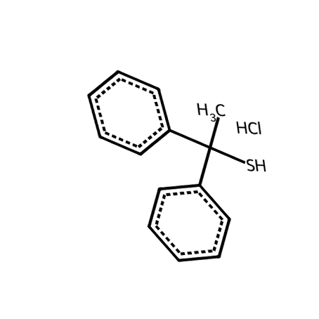 CC(S)(c1ccccc1)c1ccccc1.Cl